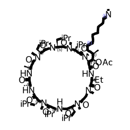 CC[C@@H]1NC(=O)[C@H]([C@H](OC(C)=O)[C@H](C)C/C=C/CCCC/C=N/C)N(C)C(=O)[C@H](C(C)C)N(C)C(=O)[C@H](CC(C)C)N(C)C(=O)[C@H](CC(C)C)N(C)C(=O)[C@H](C)NC(=O)[C@@H](C)NC(=O)[C@@H](CC(C)C)N(C)C(=O)[C@@H](C(C)C)NC(=O)[C@H](CC(C)C)N(C)C(=O)CN(C)C1=O